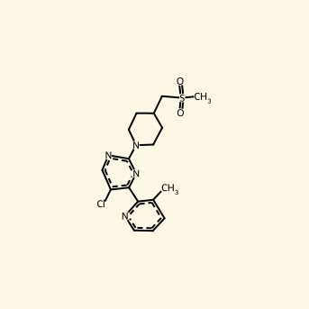 Cc1cccnc1-c1nc(N2CCC(CS(C)(=O)=O)CC2)ncc1Cl